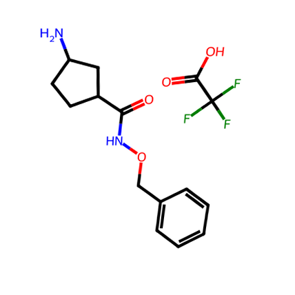 NC1CCC(C(=O)NOCc2ccccc2)C1.O=C(O)C(F)(F)F